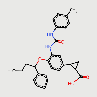 CCCC(Oc1ccc(C2CC2C(=O)O)cc1NC(=O)Nc1ccc(C)cc1)c1ccccc1